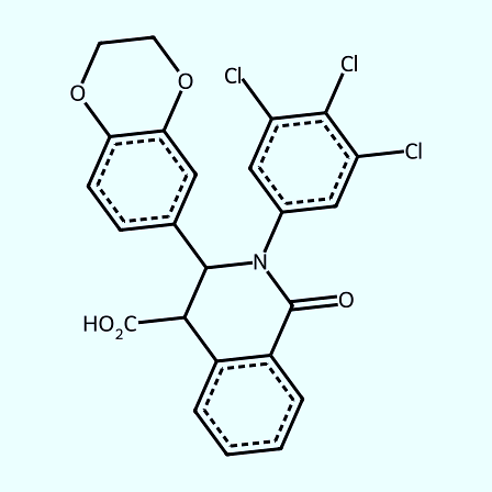 O=C(O)C1c2ccccc2C(=O)N(c2cc(Cl)c(Cl)c(Cl)c2)C1c1ccc2c(c1)OCCO2